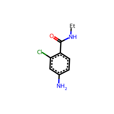 CCNC(=O)c1ccc(N)cc1Cl